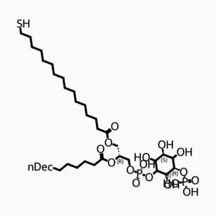 CCCCCCCCCCCCCCCC(=O)O[C@H](COC(=O)CCCCCCCCCCCCCCCS)COP(=O)(O)OC1C(O)[C@@H](O)C(O)[C@@H](OP(=O)(O)O)[C@H]1O